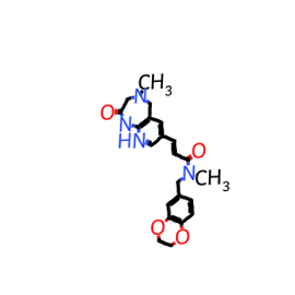 CN1CC(=O)Nc2ncc(C=CC(=O)N(C)Cc3ccc4c(c3)OCCO4)cc2C1